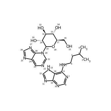 CC(C)CCNc1ncnc2nc[nH]c12.OC[C@H]1OC(n2cncc3ncnc2-3)[C@H](O)[C@@H](O)[C@@H]1O